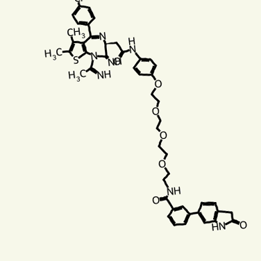 CC(=N)N1C(=N)[C@H](CC(=O)Nc2ccc(OCCOCCOCCOCCNC(=O)c3cccc(-c4ccc5c(c4)NC(=O)C5)c3)cc2)N=C(c2ccc(Cl)cc2)c2c1sc(C)c2C